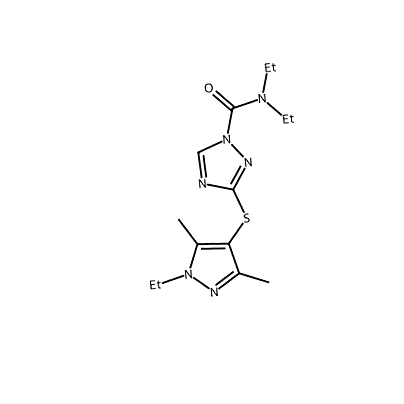 CCN(CC)C(=O)n1cnc(Sc2c(C)nn(CC)c2C)n1